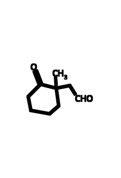 CC1(CC=O)CCCCC1=O